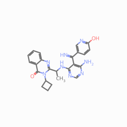 CC(Nc1ncnc(N)c1C(=N)c1ccc(O)nc1)c1nc2ccccc2c(=O)n1C1CCC1